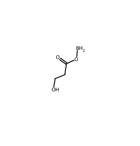 BOC(=O)CCO